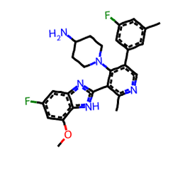 COc1cc(F)cc2nc(-c3c(C)ncc(-c4cc(C)cc(F)c4)c3N3CCC(N)CC3)[nH]c12